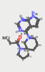 N#CCC(=O)N1CCC[C@]12CCCN(c1ncnc3[nH]ccc13)C2